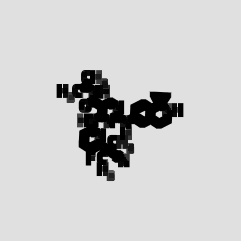 CC(C)NC(=O)c1cnc(Nc2ccc3c(c2)CCNC32CC2)nc1Nc1ccc(F)c(C(C)(C)C#N)n1